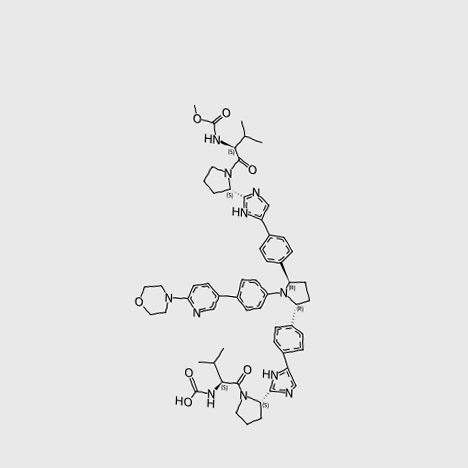 COC(=O)N[C@H](C(=O)N1CCC[C@H]1c1ncc(-c2ccc([C@H]3CC[C@H](c4ccc(-c5cnc([C@@H]6CCCN6C(=O)[C@@H](NC(=O)O)C(C)C)[nH]5)cc4)N3c3ccc(-c4ccc(N5CCOCC5)nc4)cc3)cc2)[nH]1)C(C)C